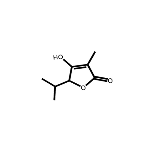 CC1=C(O)C(C(C)C)OC1=O